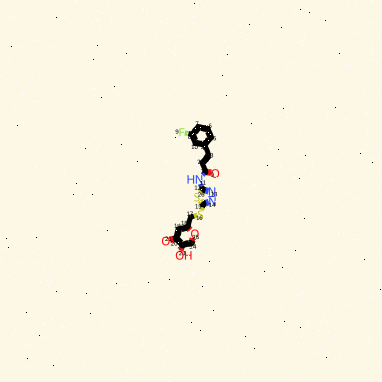 O=C(/C=C/c1cccc(F)c1)Nc1nnc(SCc2cc(=O)c(O)co2)s1